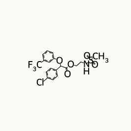 CS(=O)(=O)NCCOC(=O)C(Oc1cccc(C(F)(F)F)c1)c1ccc(Cl)cc1